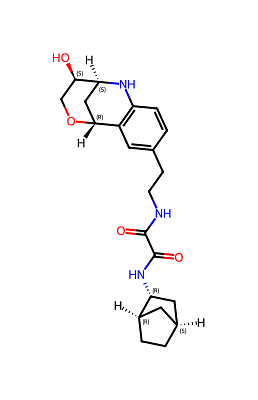 O=C(NCCc1ccc2c(c1)[C@H]1C[C@H](N2)[C@H](O)CO1)C(=O)N[C@@H]1C[C@H]2CC[C@@H]1C2